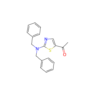 CC(=O)c1cnc(N(Cc2ccccc2)Cc2ccccc2)s1